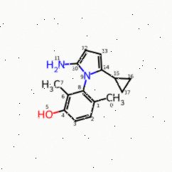 Cc1ccc(O)c(C)c1-n1c(N)ccc1C1CC1